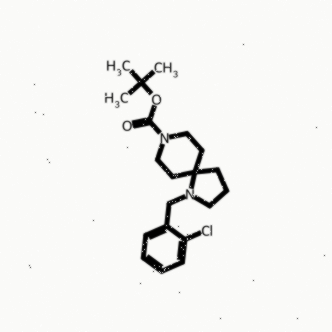 CC(C)(C)OC(=O)N1CCC2(CCCN2Cc2ccccc2Cl)CC1